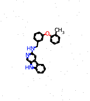 Cc1ccccc1Oc1cccc(CNc2cc3c(cn2)[nH]c2ccccc23)c1